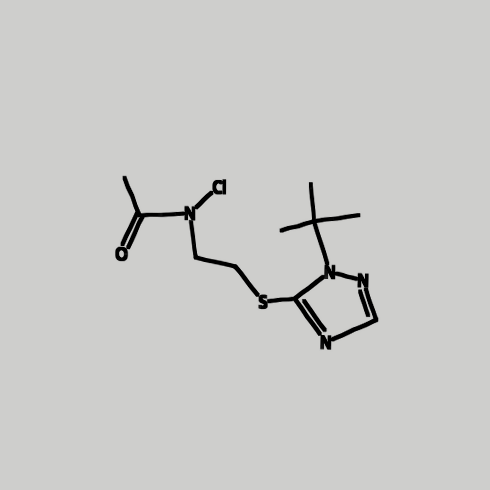 CC(=O)N(Cl)CCSc1ncnn1C(C)(C)C